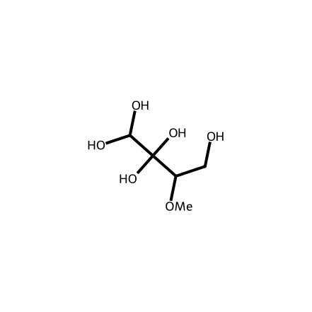 COC(CO)C(O)(O)C(O)O